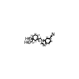 C[C@]1(Cn2cnc3ccc(C#N)cc32)CCC[C@](O)(CO)C1